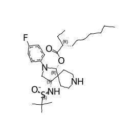 CCCCCCC[C@@H](CC)C(=O)O[C@H]1N(c2ccc(F)cc2)C[C@@H](N[S@+]([O-])C(C)(C)C)C12CCNCC2